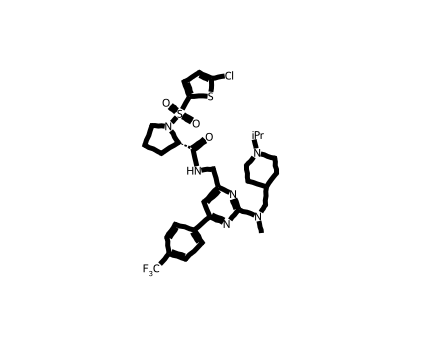 CC(C)N1CCC(CN(C)c2nc(CNC(=O)[C@@H]3CCCN3S(=O)(=O)c3ccc(Cl)s3)cc(-c3ccc(C(F)(F)F)cc3)n2)CC1